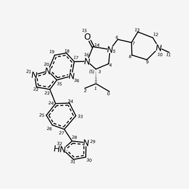 CC(C)[C@H]1CN(CC2CCN(C)CC2)C(=O)N1c1ccn2ncc(-c3ccc(-c4ncc[nH]4)cc3)c2n1